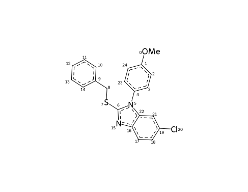 COc1ccc(-n2c(SCc3ccccc3)nc3ccc(Cl)cc32)cc1